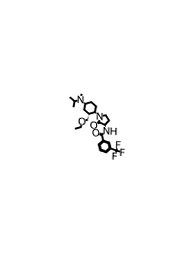 CCOC[C@@H]1C[C@H](N(C)C(C)C)CC[C@@H]1N1CC[C@H](NC(=O)c2cccc(C(F)(F)F)c2)C1=O